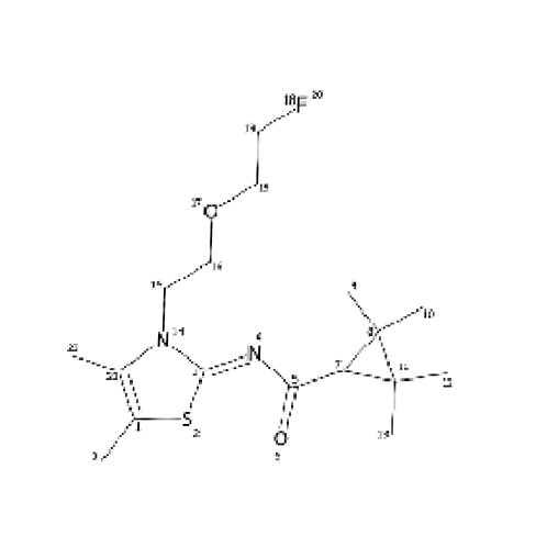 Cc1s/c(=N\C(=O)C2C(C)(C)C2(C)C)n(CCOCC[18F])c1C